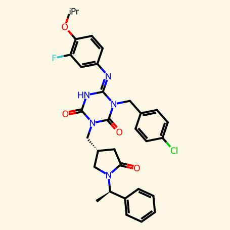 CC(C)Oc1ccc(/N=c2\[nH]c(=O)n(C[C@@H]3CC(=O)N([C@H](C)c4ccccc4)C3)c(=O)n2Cc2ccc(Cl)cc2)cc1F